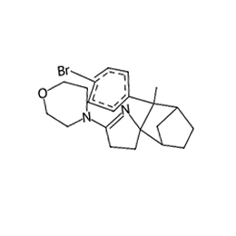 CC1(c2ccc(Br)cc2)C2CCC(C2)C12CCC(N1CCOCC1)=N2